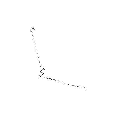 CCCCCCCCCCCCCCCCCCCCC(=O)OOC(=O)CCCCCCCCCCCCCCCCCCCC